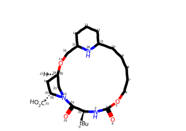 CC(C)(C)[C@@H]1NC(=O)OCCCCCC2CCCC(CO[C@@H]3C[C@@H](C(=O)O)N(C3)C1=O)N2